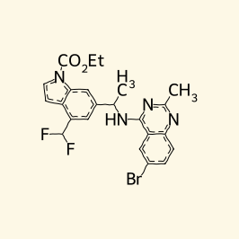 CCOC(=O)n1ccc2c(C(F)F)cc(C(C)Nc3nc(C)nc4ccc(Br)cc34)cc21